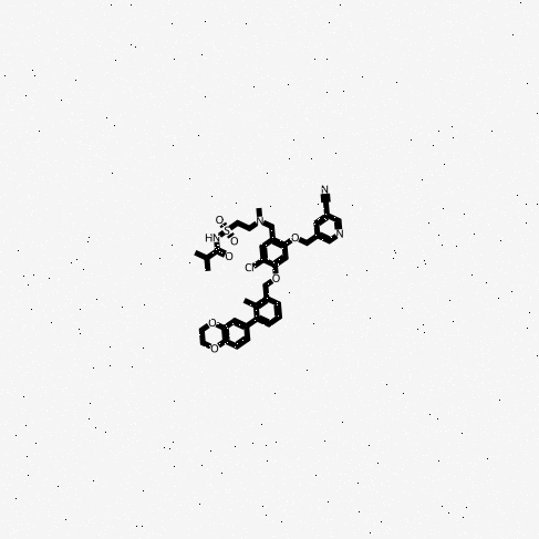 Cc1c(COc2cc(OCc3cncc(C#N)c3)c(CN(C)CCS(=O)(=O)NC(=O)C(C)C)cc2Cl)cccc1-c1ccc2c(c1)OCCO2